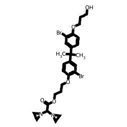 CC(C)(c1ccc(OCCCO)c(Br)c1)c1ccc(OCCCOC(=O)C(N2CC2)N2CC2)c(Br)c1